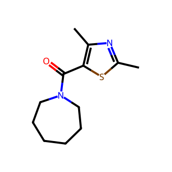 Cc1nc(C)c(C(=O)N2CCCCCC2)s1